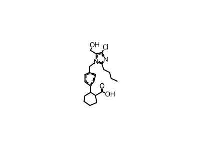 CCCCc1nc(Cl)c(CO)n1Cc1ccc(C2CCCCC2C(=O)O)cc1